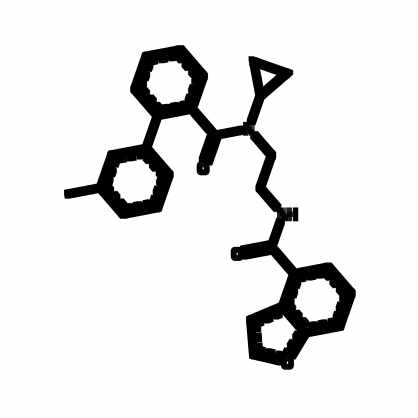 Cc1cccc(-c2ccccc2C(=O)N(CCNC(=O)c2cccc3occc23)C2CC2)c1